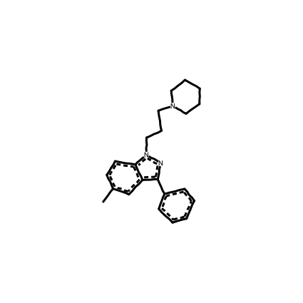 Cc1ccc2c(c1)c(-c1ccccc1)nn2CCCN1CCCCC1